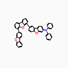 c1ccc(N(c2ccccc2)c2ccc3c(c2)oc2ccc(-c4cccc5c4oc4c(-c6ccc7c(c6)oc6ccccc67)cccc45)cc23)cc1